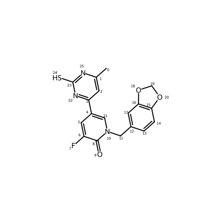 Cc1cc(-c2cc(F)c(=O)n(Cc3ccc4c(c3)OCO4)c2)nc(S)n1